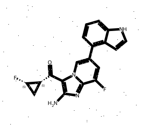 Nc1nc2c(F)cc(-c3cccc4[nH]ccc34)cn2c1C(=O)[C@@H]1C[C@@H]1F